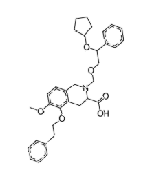 COc1ccc2c(c1OCCc1ccccc1)CC(C(=O)O)N(COCC(OC1CCCC1)c1ccccc1)C2